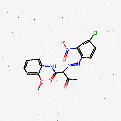 COc1ccccc1NC(=O)C(N=Nc1ccc(Cl)cc1[N+](=O)[O-])C(C)=O